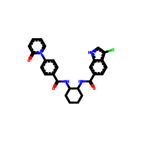 O=C(NC1CCCCC1NC(=O)c1ccc2c(Cl)c[nH]c2c1)c1ccc(-n2ccccc2=O)cc1